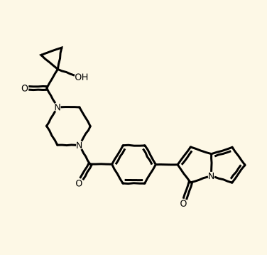 O=C(c1ccc(C2=Cc3cccn3C2=O)cc1)N1CCN(C(=O)C2(O)CC2)CC1